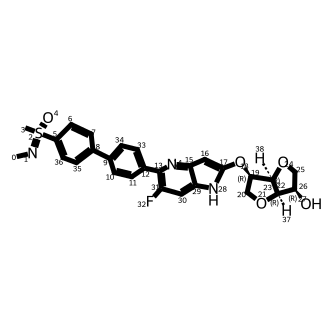 CN=S(C)(=O)c1ccc(-c2ccc(-c3nc4cc(O[C@@H]5CO[C@H]6[C@@H]5OC[C@H]6O)[nH]c4cc3F)cc2)cc1